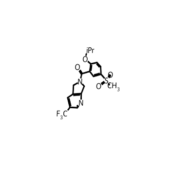 CC(C)Oc1ccc(S(C)(=O)=O)cc1C(=O)N1Cc2cc(C(F)(F)F)cnc2C1